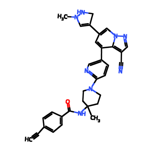 C#Cc1ccc(C(=O)NC2(C)CCN(c3ccc(-c4cc(C5=CN(C)NC5)cn5ncc(C#N)c45)cn3)CC2)cc1